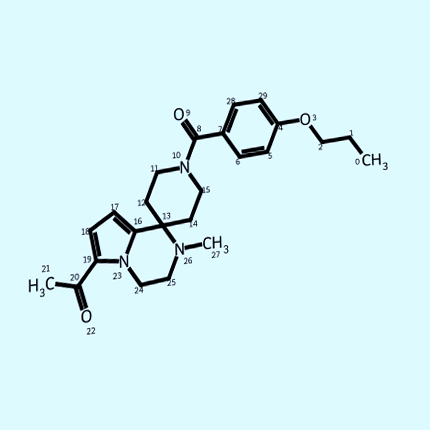 CCCOc1ccc(C(=O)N2CCC3(CC2)c2ccc(C(C)=O)n2CCN3C)cc1